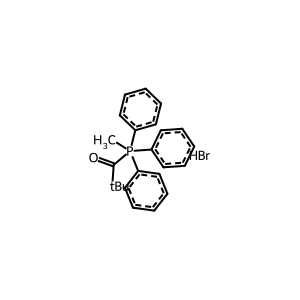 Br.CC(C)(C)C(=O)P(C)(c1ccccc1)(c1ccccc1)c1ccccc1